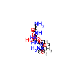 C[C@H](N)C(=O)N(C)CC(=O)N(C)CC(=O)N[C@@H](CC(=O)O)C(=O)NCC(=O)N[C@H]([C]=O)CCCCN